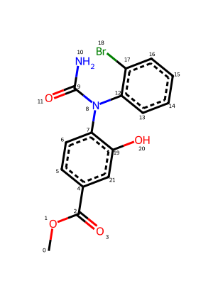 COC(=O)c1ccc(N(C(N)=O)c2ccccc2Br)c(O)c1